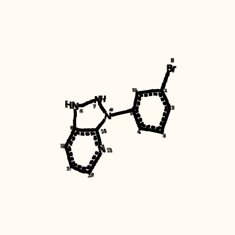 Brc1cccc(N2NNc3cccnc32)c1